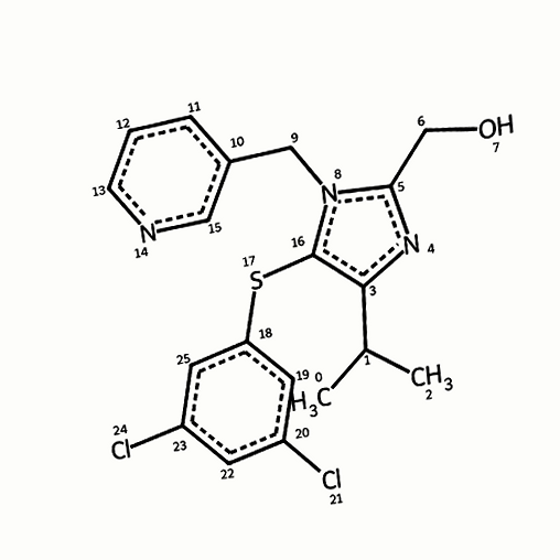 CC(C)c1nc(CO)n(Cc2cccnc2)c1Sc1cc(Cl)cc(Cl)c1